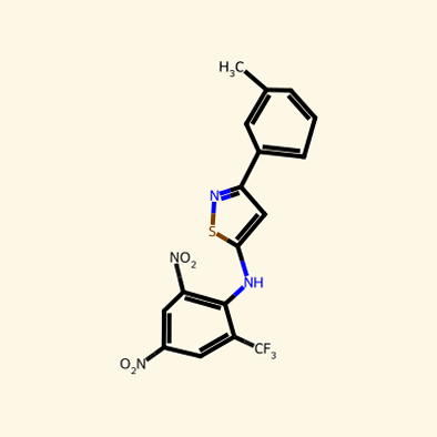 Cc1cccc(-c2cc(Nc3c([N+](=O)[O-])cc([N+](=O)[O-])cc3C(F)(F)F)sn2)c1